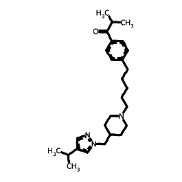 CC(C)C(=O)c1ccc(CCCCCN2CCC(Cn3cc(C(C)C)cn3)CC2)cc1